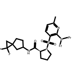 CCN(c1nc(C)ccc1S(=O)(=O)N1CCC[C@H]1C(=O)NC1CCC2(C1)CC2(F)F)C(C)C